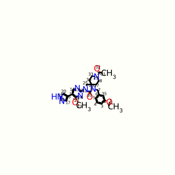 COc1cccc(CN2C(=O)N(c3ncc(-c4cn[nH]c4)c(OC)n3)CC23CCN(C(C)=O)CC3)c1